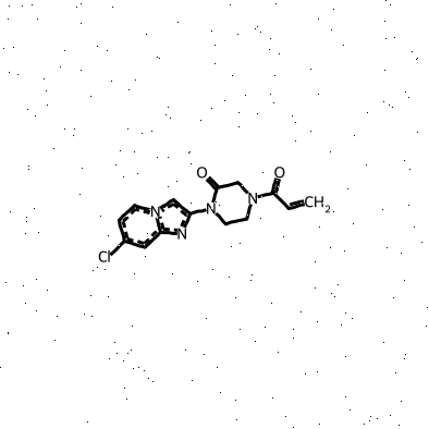 C=CC(=O)N1CCN(c2cn3ccc(Cl)cc3n2)C(=O)C1